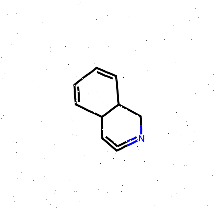 C1=CC2C=CC=CC2CN=1